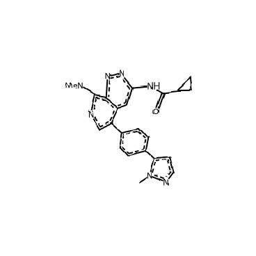 CNc1ncc(-c2ccc(-c3ccnn3C)cc2)c2cc(NC(=O)C3CC3)nnc12